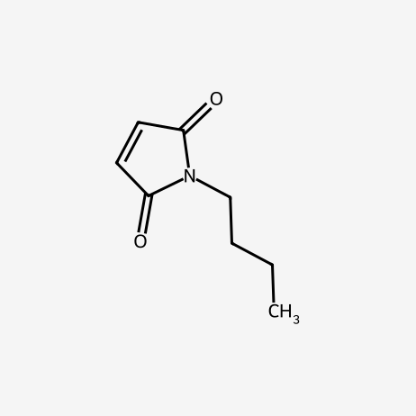 CCCCN1C(=O)C=CC1=O